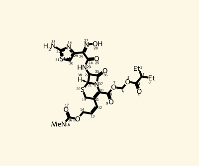 CCC(CC)C(=O)OCOC(=O)C1=C(/C=C\COC(=O)NC)CS[C@@H]2C(NC(=O)/C(=N\O)c3csc(N)n3)C(=O)N12